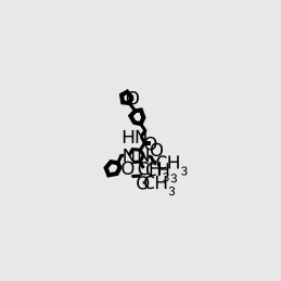 COCCOc1ccccc1CN1CC(C)N(C(=O)C(C)C)C(C(=O)NCc2ccc(-c3ccco3)cc2)C1